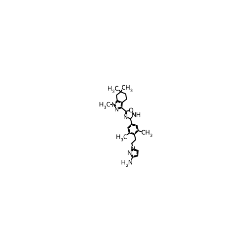 Cc1cc(C2N=C(c3nn(C)c4c3CCC(C)(C)C4)ON2)cc(C)c1CCn1ccc(N)n1